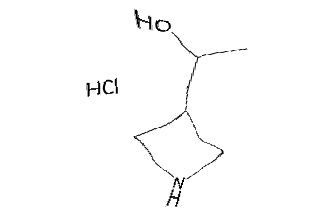 CC(O)C1CNC1.Cl